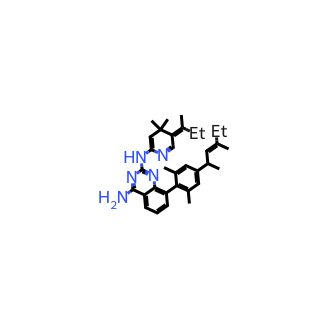 CC/C(C)=C1\C=NC(Nc2nc(N)c3cccc(-c4c(C)cc(C(C)/C=C(\C)CC)cc4C)c3n2)=CC1(C)C